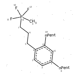 CCCCCc1ccc(CCCP(C)(F)(F)F)c(CCCCC)c1